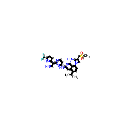 CC(C)c1ccc(N2C[C@H](CS(C)(=O)=O)[C@H]2N)c2cnc(Nc3ccnc(/C(C=N)=C4\CC[C@H](C(F)F)N4)n3)cc12